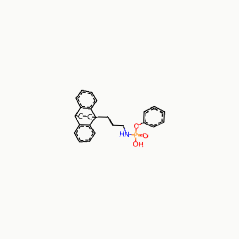 O=P(O)(NCCCC12CCC(c3ccccc31)c1ccccc12)Oc1ccccc1